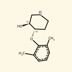 Cc1cccc(C)c1O[C@H]1CCNC[C@@H]1O